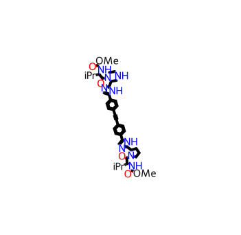 COC(=O)NC(C(=O)N1CCCC1c1ncc(-c2ccc(C#Cc3ccc(-c4cnc(C5CNCCN5C(=O)C(NC(=O)OC)C(C)C)[nH]4)cc3)cc2)[nH]1)C(C)C